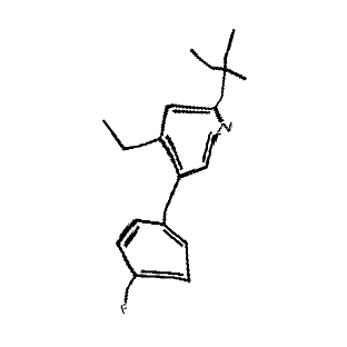 CCc1cc(C(C)(C)C)ncc1-c1ccc(F)cc1